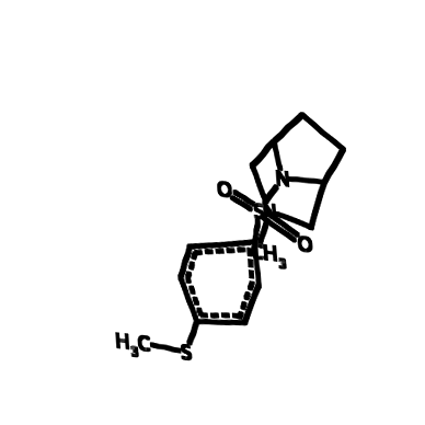 CSc1ccc(S(=O)(=O)N2C3CCC2CN(C)C3)cc1